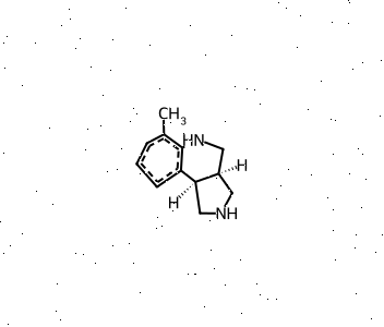 Cc1cccc2c1NC[C@H]1CNC[C@@H]21